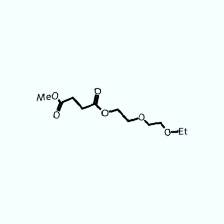 CCOCCOCCOC(=O)CCC(=O)OC